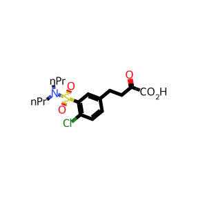 CCCN(CCC)S(=O)(=O)c1cc(CCC(=O)C(=O)O)ccc1Cl